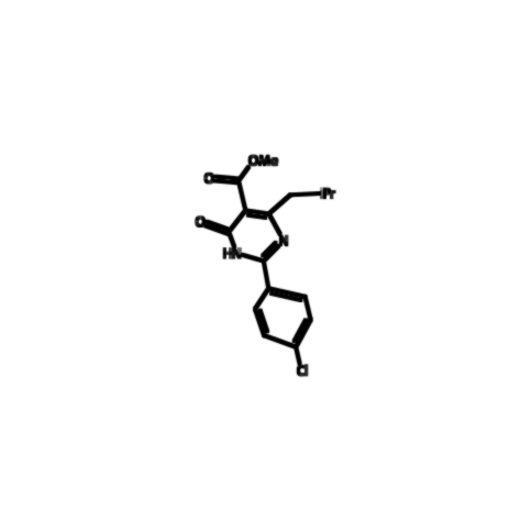 COC(=O)c1c(CC(C)C)nc(-c2ccc(Cl)cc2)[nH]c1=O